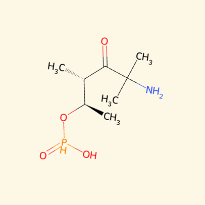 C[C@H](C(=O)C(C)(C)N)[C@@H](C)O[PH](=O)O